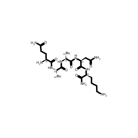 CC[C@@H](C)[C@H](NC(=O)[C@@H](N)CCC(N)=O)C(=O)N[C@H](C(=O)N[C@@H](CC(N)=O)C(=O)N[C@@H](CCCCN)C(N)=O)[C@@H](C)CC